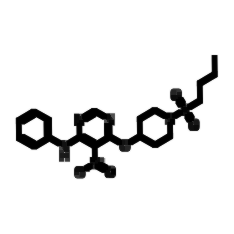 CCCCS(=O)(=O)N1CCC(Oc2ncnc(Nc3ccccc3)c2[N+](=O)[O-])CC1